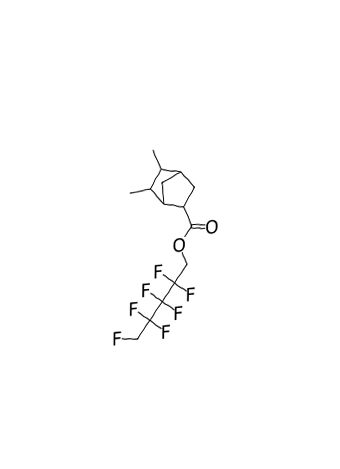 CC1C2CC(C(=O)OCC(F)(F)C(F)(F)C(F)(F)CF)C(C2)C1C